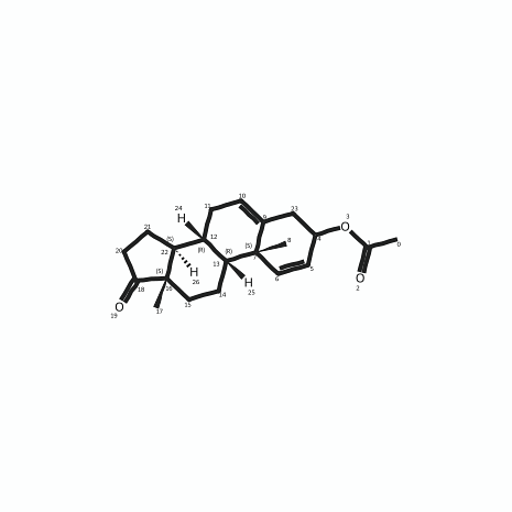 CC(=O)OC1C=C[C@@]2(C)C(=CC[C@@H]3[C@H]2CC[C@]2(C)C(=O)CC[C@@H]32)C1